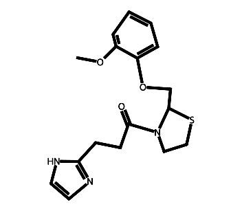 COc1ccccc1OCC1SCCN1C(=O)CCc1ncc[nH]1